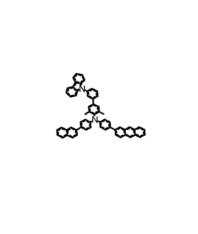 Cc1cc(-c2cccc(-n3c4ccccc4c4ccccc43)c2)cc(C)c1N(c1ccc(-c2ccc3ccccc3c2)cc1)c1ccc(-c2ccc3cc4ccccc4cc3c2)cc1